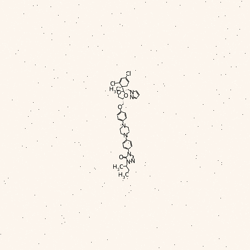 CCC(C)n1ncn(-c2ccc(N3CCN(c4ccc(OC[C@@H]5CO[C@@](Cn6cccn6)(C6(C)CC=C(Cl)C=C6Cl)O5)cc4)CC3)cc2)c1=O